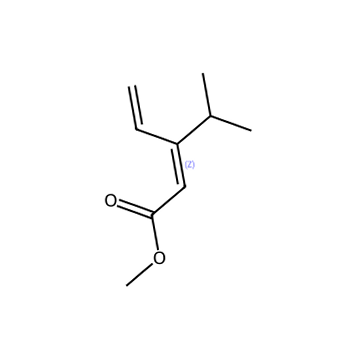 C=C/C(=C\C(=O)OC)C(C)C